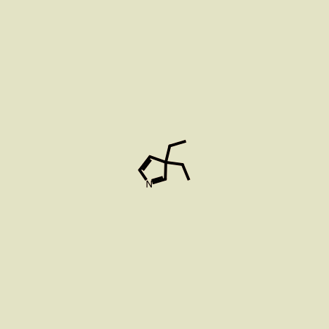 CCC1(CC)C=CN=C1